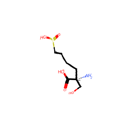 N[C@@](CO)(CCCCS(=O)O)C(=O)O